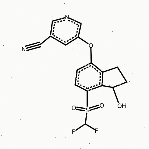 N#Cc1cncc(Oc2ccc(S(=O)(=O)C(F)F)c3c2CCC3O)c1